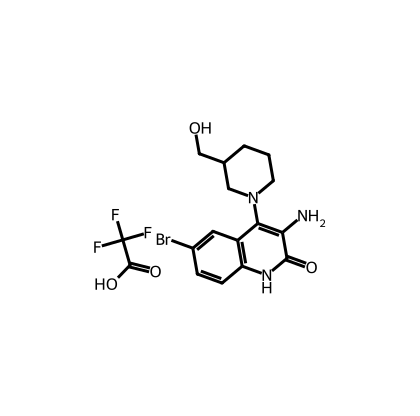 Nc1c(N2CCCC(CO)C2)c2cc(Br)ccc2[nH]c1=O.O=C(O)C(F)(F)F